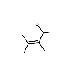 CC(C)=C(C)C(C)[O]